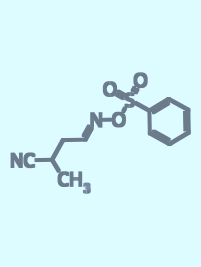 CC(C#N)CC=NOS(=O)(=O)c1ccccc1